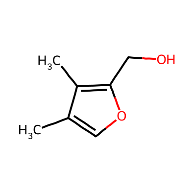 Cc1coc(CO)c1C